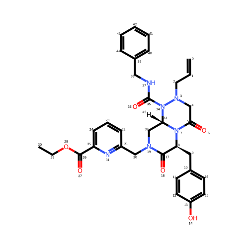 C=CCN1CC(=O)N2[C@@H](Cc3ccc(O)cc3)C(=O)N(Cc3cccc(C(=O)OCC)n3)C[C@@H]2N1C(=O)NCc1ccccc1